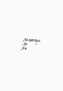 [Fe].[Mn].[Si].[Si].[Sn]